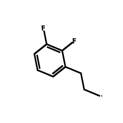 [CH2]CCc1cccc(F)c1F